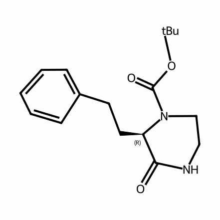 CC(C)(C)OC(=O)N1CCNC(=O)[C@H]1CCc1ccccc1